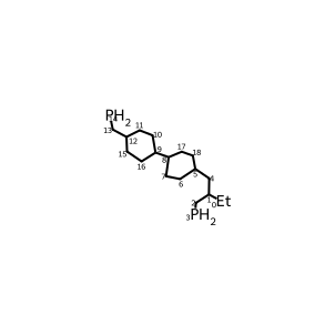 CCC(CP)CC1CCC(C2CCC(CP)CC2)CC1